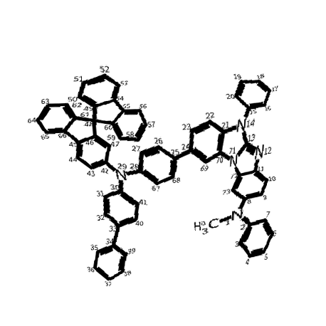 CN(c1ccccc1)c1ccc2nc3n(-c4ccccc4)c4ccc(-c5ccc(N(c6ccc(-c7ccccc7)cc6)c6ccc7c(c6)C6(c8ccccc8-c8ccccc86)c6ccccc6-7)cc5)cc4n3c2c1